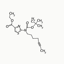 CC#CCCCCN(C(=O)OC(C)(C)C)c1nc(C(=O)OCC)cs1